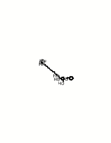 CC(C)(C)OC(=O)NCCCCCCCCCCCNC[C@H](O)c1ccc(OCc2ccccc2)c(CO)c1